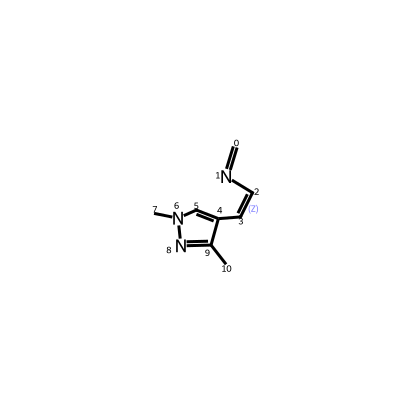 C=N/C=C\c1cn(C)nc1C